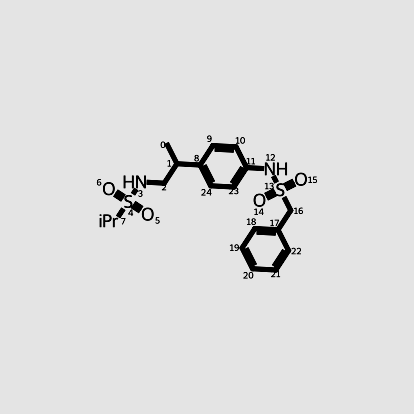 CC(CNS(=O)(=O)C(C)C)c1ccc(NS(=O)(=O)Cc2ccccc2)cc1